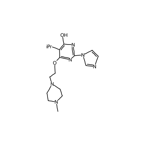 CC(C)c1c(O)nc(-n2ccnc2)nc1OCCN1CCN(C)CC1